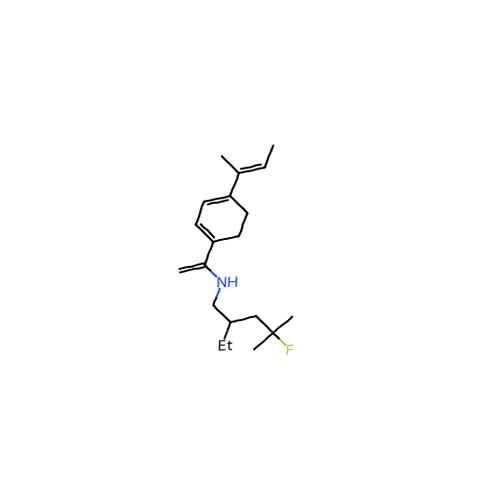 C=C(NCC(CC)CC(C)(C)F)C1=CC=C(/C(C)=C/C)CC1